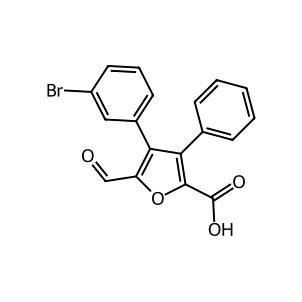 O=Cc1oc(C(=O)O)c(-c2ccccc2)c1-c1cccc(Br)c1